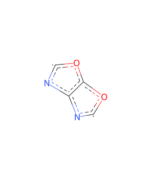 [c]1nc2n[c]oc2o1